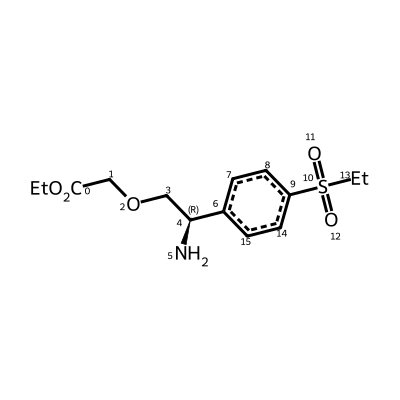 CCOC(=O)COC[C@H](N)c1ccc(S(=O)(=O)CC)cc1